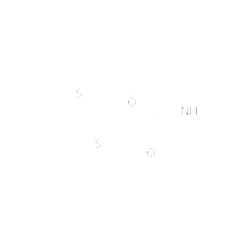 CNC(=O)OC(SC)SC